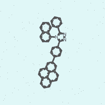 c1ccc(-c2nnc(-c3ccc(-c4cc5ccc6cccc7ccc(c4)c5c67)cc3)n2-c2cccc3ccccc23)cc1